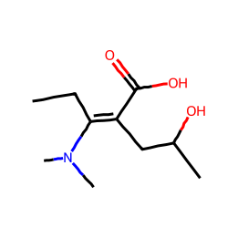 CCC(=C(CC(C)O)C(=O)O)N(C)C